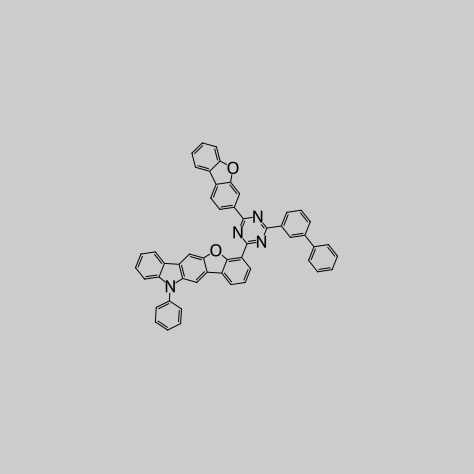 c1ccc(-c2cccc(-c3nc(-c4ccc5c(c4)oc4ccccc45)nc(-c4cccc5c4oc4cc6c7ccccc7n(-c7ccccc7)c6cc45)n3)c2)cc1